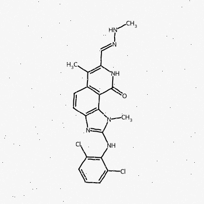 CNN=Cc1[nH]c(=O)c2c(ccc3nc(Nc4c(Cl)cccc4Cl)n(C)c32)c1C